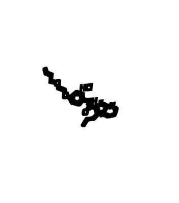 CCCCOCCOc1ccc(NC(=O)C2=C(CCC)N3CCCN=C3S2)cc1.Cl